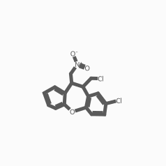 O=[N+]([O-])CC1c2ccccc2Oc2ccc(Cl)cc2C1CCl